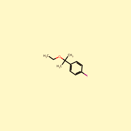 CCOC(C)(C)c1ccc(I)cc1